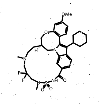 COc1ccc2c(c1)OC[C@@H]1CCN(C)CC(F)(F)CN(C)S(=O)(=O)NC(=O)c3ccc4c(C5CCCCC5)c-2n(c4c3)C1